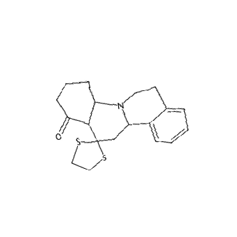 O=C1CCCC2C1C1(CC3c4ccccc4CCN32)SCCS1